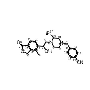 Cc1c(C(O)CN2CCN(Sc3ccc(C#N)cc3)CC2C(C)C)ccc2c1COC2=O